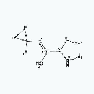 CC1(/C=C(\O)[C@@H]2CCCN2)CC1